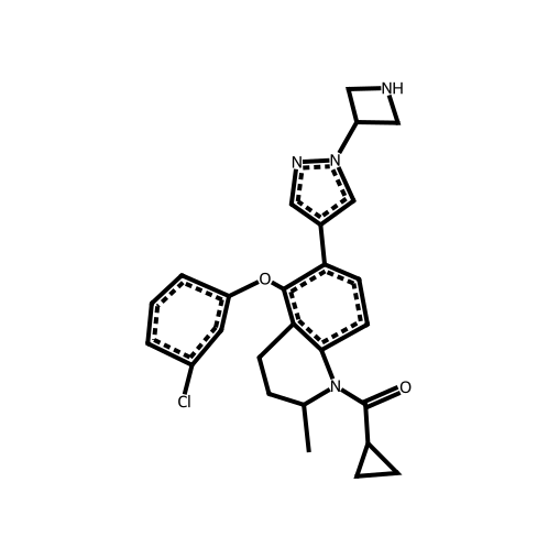 CC1CCc2c(ccc(-c3cnn(C4CNC4)c3)c2Oc2cccc(Cl)c2)N1C(=O)C1CC1